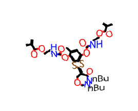 C=C(C)C(=O)OCCNC(=O)Oc1cc(C)c(OC(=O)NCCOC(=O)C(=C)C)c2c1S/C(=C1/COCN(CCCC)N(CCCC)C1=O)S2